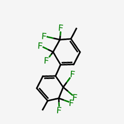 CC1=CC=C(C2=CC=C(C)C(F)(F)C2(F)F)C(F)(F)C1(F)F